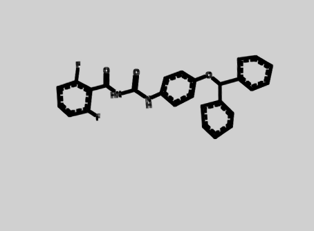 O=C(NC(=O)c1c(F)cccc1F)Nc1ccc(OC(c2ccccc2)c2ccccc2)cc1